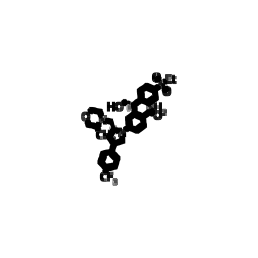 CCS(=O)(=O)c1ccc([C@@H](CO)c2cc(N3CC(c4ccc(C(F)(F)F)cc4)C[C@H]3CN3CCOCC3C)ccc2C(N)=O)cc1